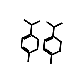 CC1=CC=C(C(C)C)CC1.CC1=CC=C(C(C)C)CC1